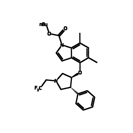 CCCCOC(=O)n1ccc2c(O[C@@H]3CN(CC(F)(F)F)C[C@H]3c3ccccc3)c(C)cc(C)c21